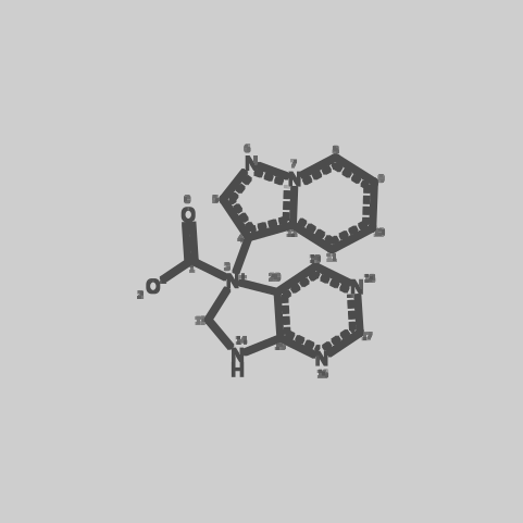 O=C([O-])[N+]1(c2cnn3ccccc23)CNc2ncncc21